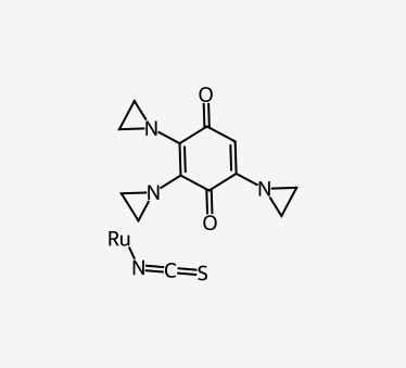 O=C1C=C(N2CC2)C(=O)C(N2CC2)=C1N1CC1.S=C=[N][Ru]